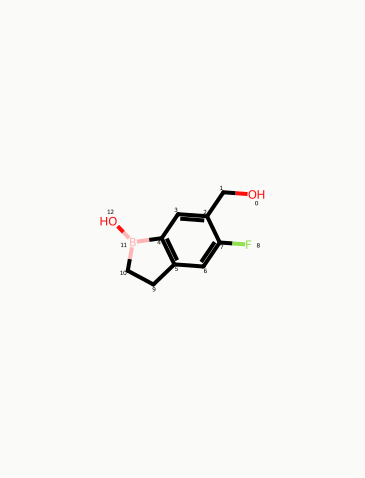 OCc1cc2c(cc1F)CCB2O